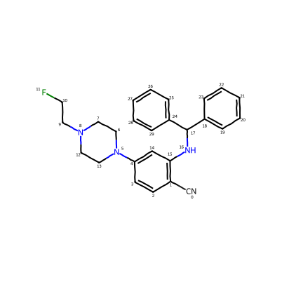 N#Cc1ccc(N2CCN(CCF)CC2)cc1NC(c1ccccc1)c1ccccc1